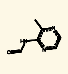 Cc1nccnc1NC=O